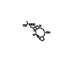 CC(O)OCC1O[C@]23C[C@@H]4OC5C(CCC54)CC(O)CC[C@@H]2C[C@]13O